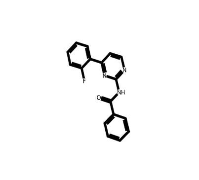 O=C(Nc1nccc(-c2ccccc2F)n1)c1ccccc1